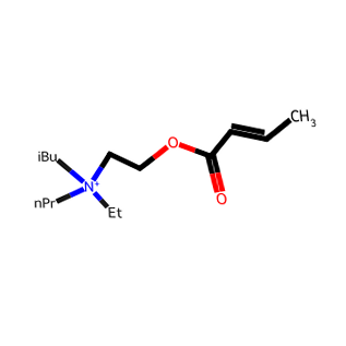 C/C=C/C(=O)OCC[N+](CC)(CCC)C(C)CC